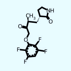 C[C@@H](C[C@@H]1CCNC1=O)C(=O)COc1c(F)c(F)cc(F)c1F